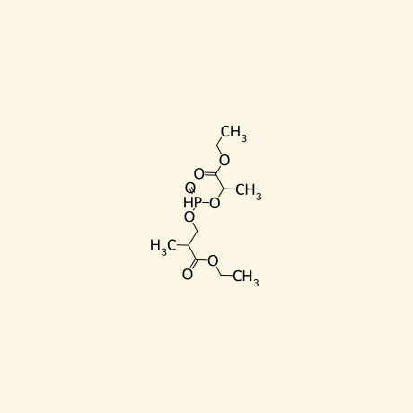 CCOC(=O)C(C)CO[PH](=O)OC(C)C(=O)OCC